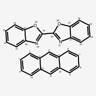 c1ccc2cc3ccccc3cc2c1.c1ccc2oc(-c3nc4ccccc4o3)nc2c1